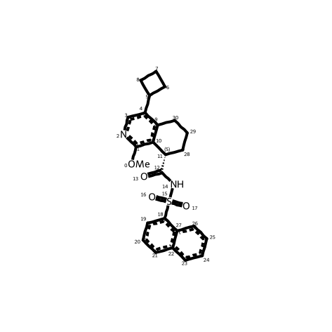 COc1ncc(C2CCC2)c2c1[C@@H](C(=O)NS(=O)(=O)c1cccc3ccccc13)CCC2